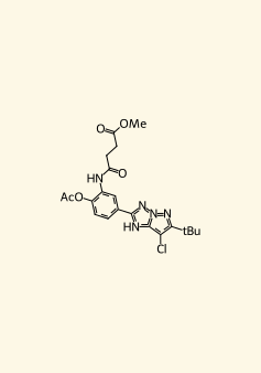 COC(=O)CCC(=O)Nc1cc(-c2nn3nc(C(C)(C)C)c(Cl)c3[nH]2)ccc1OC(C)=O